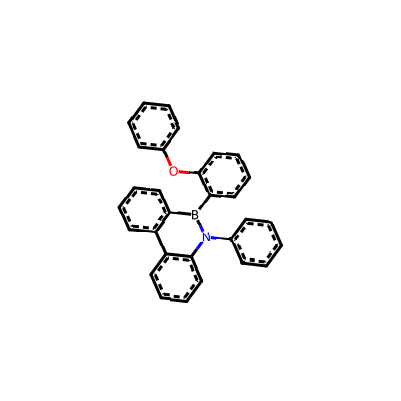 c1ccc(Oc2ccccc2B2c3ccccc3-c3ccccc3N2c2ccccc2)cc1